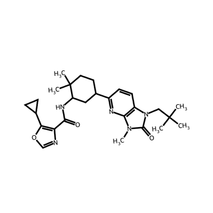 Cn1c(=O)n(CC(C)(C)C)c2ccc(C3CCC(C)(C)C(NC(=O)c4ncoc4C4CC4)C3)nc21